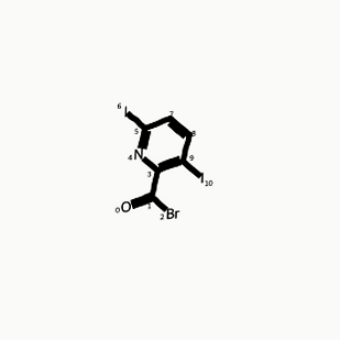 O=C(Br)c1nc(I)ccc1I